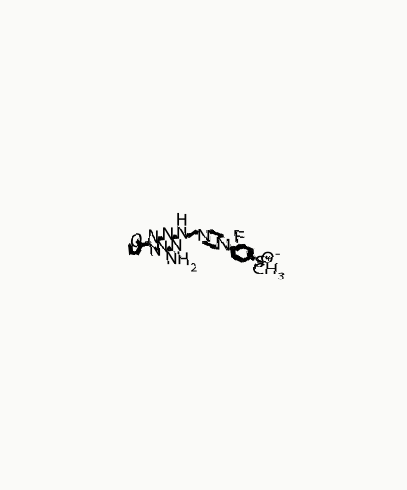 C[S+]([O-])c1ccc(N2CCN(CCNc3nc(N)n4nc(-c5ccco5)nc4n3)CC2)c(F)c1